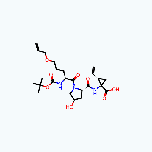 C=CCOCCC[C@H](NC(=O)OC(C)(C)C)C(=O)N1C[C@H](O)C[C@H]1C(=O)N[C@]1(C(=O)O)C[C@H]1C=C